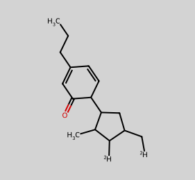 [2H]CC1CC(C2C=CC(CCC)=CC2=O)C(C)C1[2H]